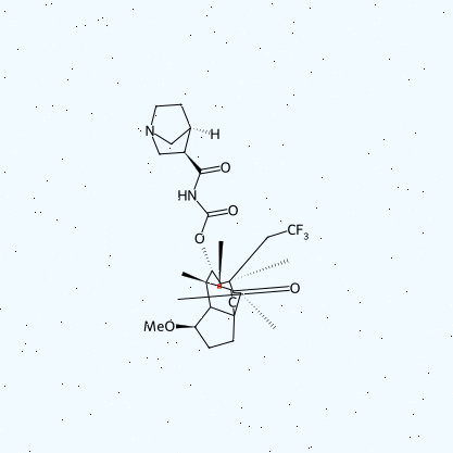 CO[C@@H]1CCC23CC[C@@H](C)[C@](C)(C12)[C@H](OC(=O)NC(=O)[C@H]1CN2CC[C@@H]1C2)C[C@@](C)(CC(F)(F)F)C(=O)[C@@H]3C